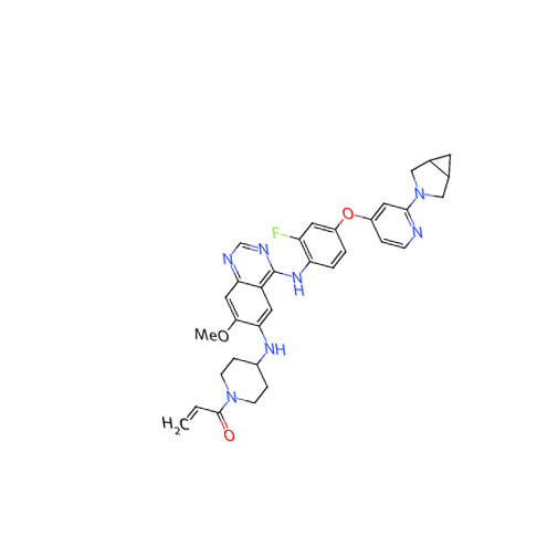 C=CC(=O)N1CCC(Nc2cc3c(Nc4ccc(Oc5ccnc(N6CC7CC7C6)c5)cc4F)ncnc3cc2OC)CC1